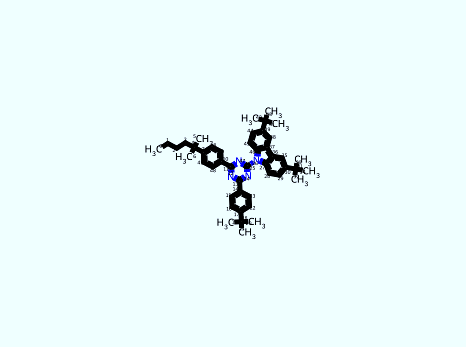 CCCCC(C)(C)c1ccc(-c2nc(-c3ccc(C(C)(C)C)cc3)nc(-n3c4ccc(C(C)(C)C)cc4c4cc(C(C)(C)C)ccc43)n2)cc1